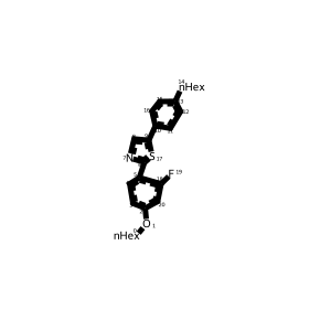 CCCCCCOc1ccc(-c2ncc(-c3ccc(CCCCCC)cc3)s2)c(F)c1